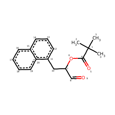 CC(C)(C)C(=O)OC(C=O)Cc1cccc2ccccc12